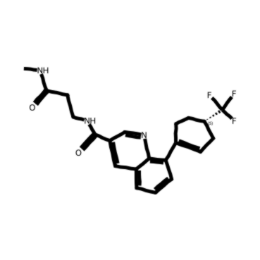 CNC(=O)CCNC(=O)c1cnc2c(C3=CC[C@@H](C(F)(F)F)CC3)cccc2c1